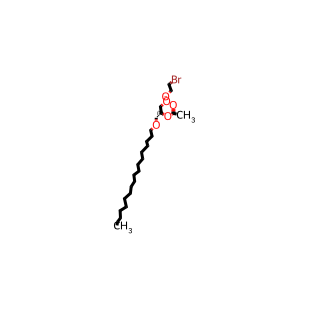 CCCCCCCCCCCCCCCCCCOC[C@H](COOCCBr)OC(C)=O